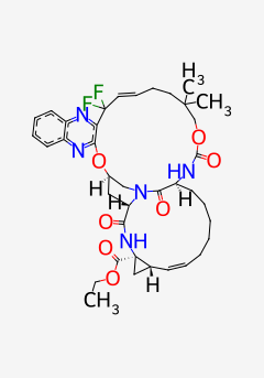 CCOC(=O)[C@@]12C[C@H]1/C=C\CCCCC[C@@H]1NC(=O)OCC(C)(C)CC/C=C/C(F)(F)c3nc4ccccc4nc3O[C@@H]3C[C@@H](C(=O)N2)N(C3)C1=O